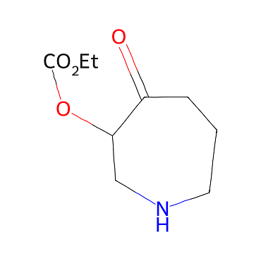 CCOC(=O)OC1CNCCCC1=O